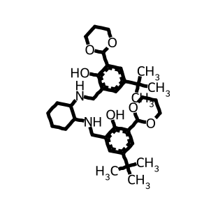 CC(C)(C)c1cc(CNC2CCCCC2NCc2cc(C(C)(C)C)cc(C3OCCCO3)c2O)c(O)c(C2OCCCO2)c1